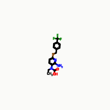 CCN(C(=O)O)c1ccc(SCc2ccc(C(F)(F)F)cc2)nc1N